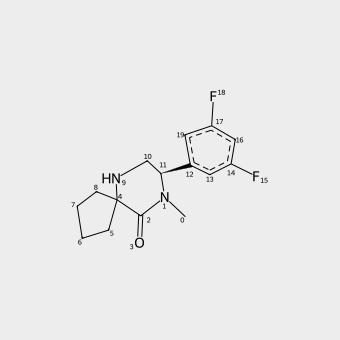 CN1C(=O)C2(CCCC2)NC[C@H]1c1cc(F)cc(F)c1